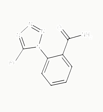 CC(C)c1nnnn1-c1ccccc1C(N)=O